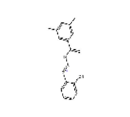 Cc1cc(C)cc(C(=O)N/N=C/c2ccccc2O)c1